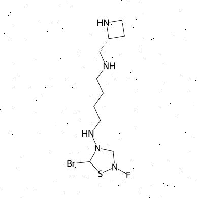 FN1CN(NCCCCNC[C@H]2CCN2)C(Br)S1